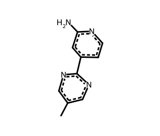 Cc1cnc(-c2ccnc(N)c2)nc1